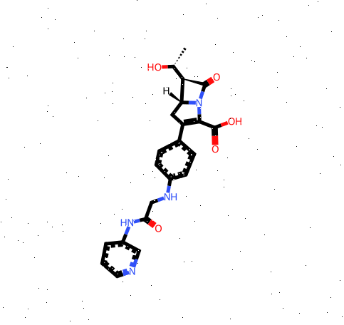 C[C@@H](O)[C@H]1C(=O)N2C(C(=O)O)=C(c3ccc(NCC(=O)Nc4cccnc4)cc3)C[C@H]12